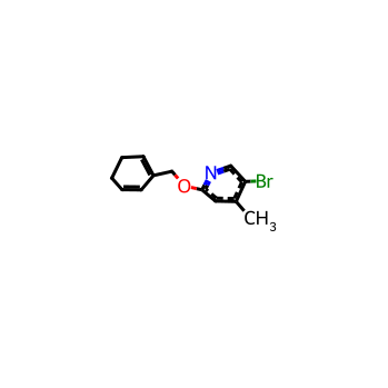 Cc1cc(OCC2=CCCC=C2)ncc1Br